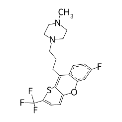 CN1CCN(CCCC2=C3SC(C(F)(F)F)=CC=C3Oc3cc(F)ccc32)CC1